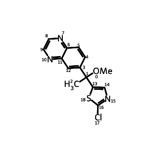 COC(C)(c1ccc2nccnc2c1)c1cnc(Cl)s1